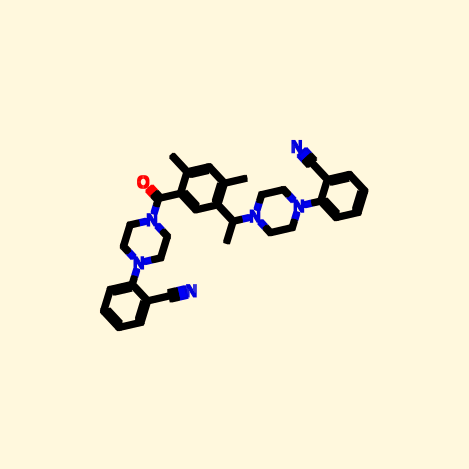 Cc1cc(C)c(C(C)N2CCN(c3ccccc3C#N)CC2)cc1C(=O)N1CCN(c2ccccc2C#N)CC1